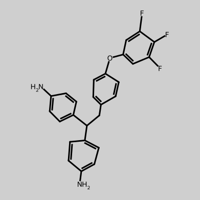 Nc1ccc(C(Cc2ccc(Oc3cc(F)c(F)c(F)c3)cc2)c2ccc(N)cc2)cc1